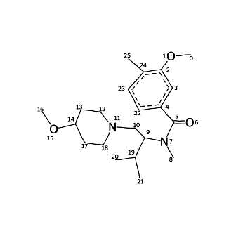 COc1cc(C(=O)N(C)C(CN2CCC(OC)CC2)C(C)C)ccc1C